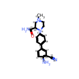 CN1CCN(c2ccc(-c3ccc(N)c(C#N)c3)cc2)C(C(N)=O)C1